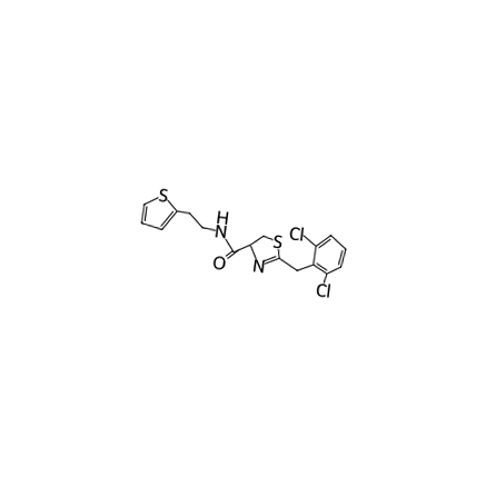 O=C(NCCc1cccs1)C1CSC(Cc2c(Cl)cccc2Cl)=N1